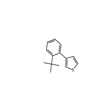 CC(C)(C)c1cc[c]cc1-c1ccsc1